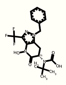 CC(C)(C)N(C(=O)O)[C@H]1Cc2c(c(C(F)(F)F)nn2Cc2ccccc2)N(O)C1=O